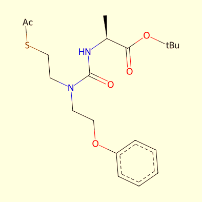 CC(=O)SCCN(CCOc1ccccc1)C(=O)N[C@@H](C)C(=O)OC(C)(C)C